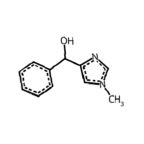 Cn1cnc(C(O)c2ccccc2)c1